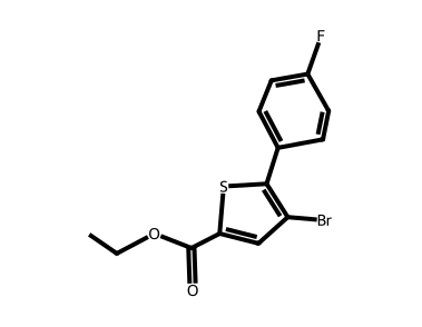 CCOC(=O)c1cc(Br)c(-c2ccc(F)cc2)s1